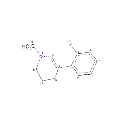 O=C(O)N1C=C(c2ccccc2F)CCC1